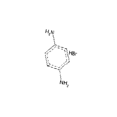 Br.Nc1ccc(N)cc1